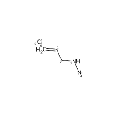 C=CCN[N].[C]